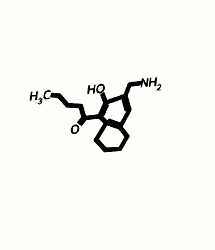 CCCCC(=O)c1c(O)c(CN)cc2c1CCCC2